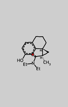 CCN(CC)C(=O)[C@]1(C)C[C@@]12CCCc1ccc(O)cc12